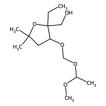 CCC1(CO)OC(C)(C)CC1OCOC(C)OC